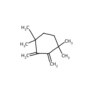 C=C1C(=C)C(C)(C)CCC1(C)C